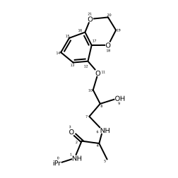 CC(C)NC(=O)C(C)NCC(O)COc1cccc2c1OCCO2